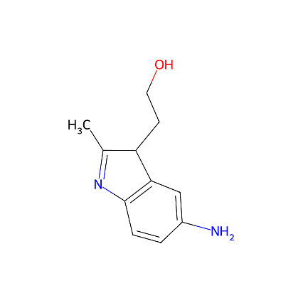 CC1=Nc2ccc(N)cc2C1CCO